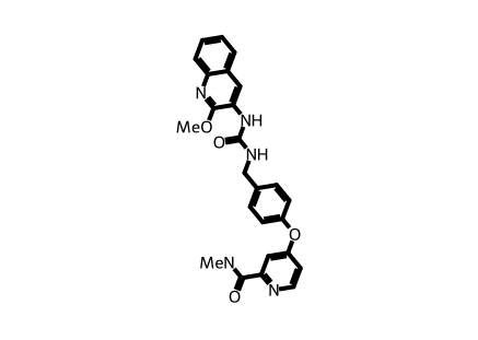 CNC(=O)c1cc(Oc2ccc(CNC(=O)Nc3cc4ccccc4nc3OC)cc2)ccn1